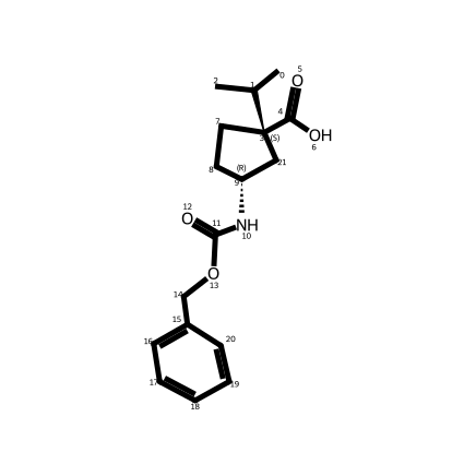 CC(C)[C@]1(C(=O)O)CC[C@@H](NC(=O)OCc2ccccc2)C1